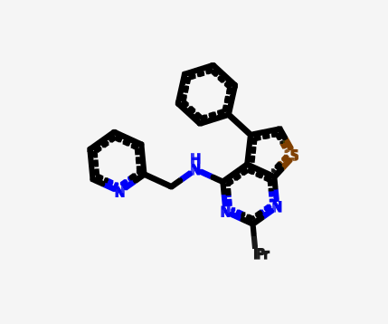 CC(C)c1nc(NCc2ccccn2)c2c(-c3ccccc3)csc2n1